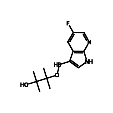 CC(C)(O)C(C)(C)OBc1c[nH]c2ncc(F)cc12